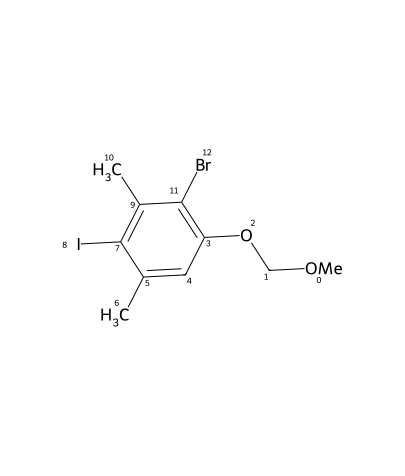 COCOc1cc(C)c(I)c(C)c1Br